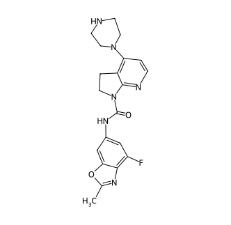 Cc1nc2c(F)cc(NC(=O)N3CCc4c(N5CCNCC5)ccnc43)cc2o1